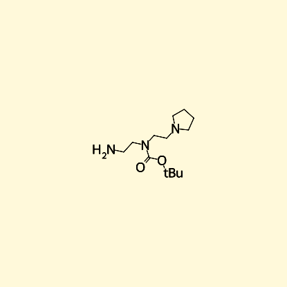 CC(C)(C)OC(=O)N(CCN)CCN1CCCC1